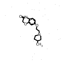 CC1CCN(CCOc2ccc3c(c2)OCC(=O)N3)CC1